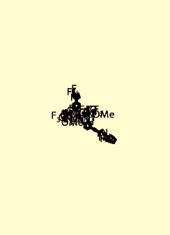 COC(=O)N[C@H](C(=O)N[C@@H](Cc1ccc(C#Cc2cnc(N3CC4CCC(C3)N4)nc2)cc1)[C@@H](O)CN(NC(=O)[C@@H](NC(=O)OC)C(C)(C)C(F)(F)F)c1c(F)cc(-c2ccn(C(F)F)n2)cc1F)C(C)(C)C(F)(F)F